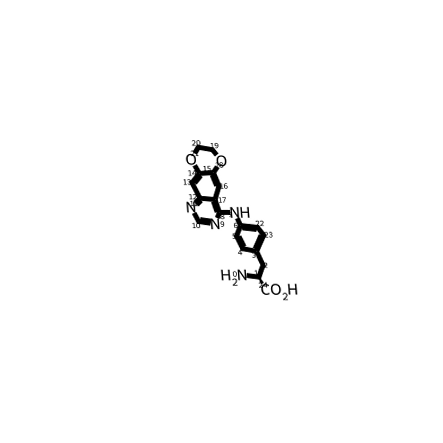 N[C@@H](Cc1ccc(Nc2ncnc3cc4c(cc23)OCCO4)cc1)C(=O)O